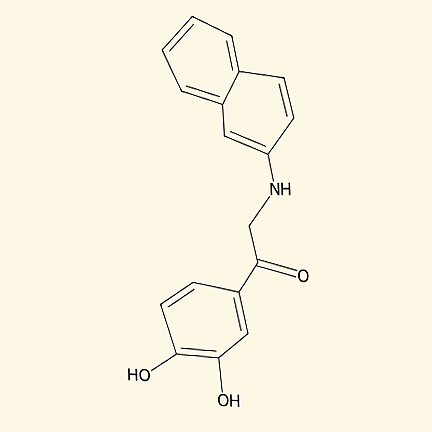 O=C(CNc1ccc2ccccc2c1)c1ccc(O)c(O)c1